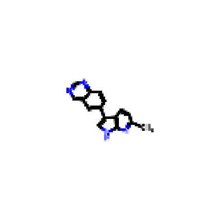 Cc1ccc2c(-c3ccc4ncncc4c3)c[nH]c2n1